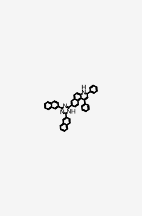 C1=C(c2ccccc2)c2c(ccc3cc(C4=NC(c5ccc6ccccc6c5)=NC(c5ccc6ccccc6c5)N4)ccc23)NC1c1ccccc1